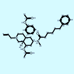 C=CCN1CC[C@@]2(c3cccc(OC(C)=O)c3)C[C@H](N(C)C(=O)CCCCCc3ccccc3)CC(OC(C)=O)[C@@H]2C1